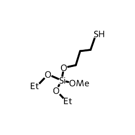 CCO[Si](OC)(OCC)OCCCS